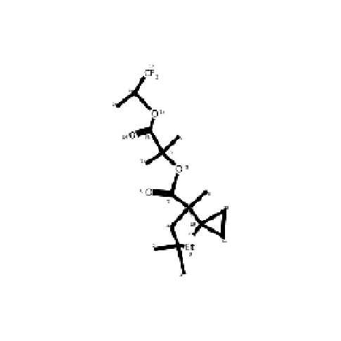 CCC(C)(C)CC(C)(C(=O)OC(C)(C)C(=O)OC(C)C(F)(F)F)C1(C)CC1